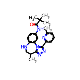 Cc1cccc(-c2nnc3n2-c2cc(NC(=O)C(C)(C)C)ccc2NCC3C)n1